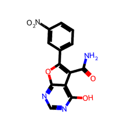 NC(=O)c1c(-c2cccc([N+](=O)[O-])c2)oc2ncnc(O)c12